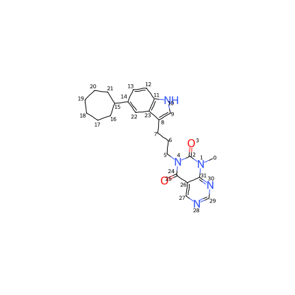 Cn1c(=O)n(CCCc2c[nH]c3ccc(C4CCCCCC4)cc23)c(=O)c2cncnc21